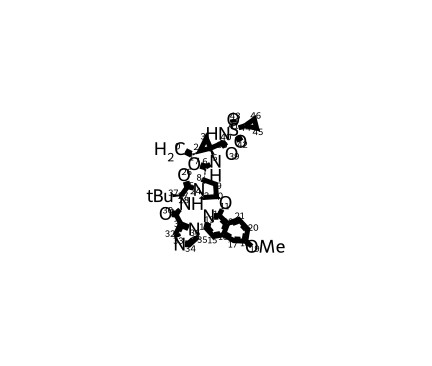 C=C[C@@H]1C[C@]1(NC(=O)[C@@H]1C[C@@H](Oc2nccc3cc(OC)ccc23)CN1C(=O)[C@@H](NC(=O)c1cnccn1)C(C)(C)C)C(=O)NS(=O)(=O)C1CC1